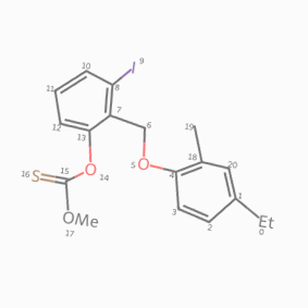 CCc1ccc(OCc2c(I)cccc2OC(=S)OC)c(C)c1